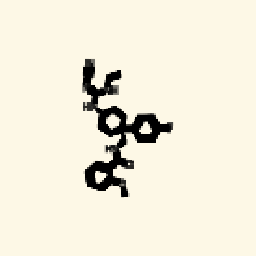 CCN/C(=N\C#N)N[C@H]1CC[C@](CNC(=O)c2ccccc2OC)(c2ccc(F)cc2)CC1